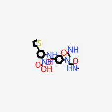 CNC(=O)CN(CC(=O)NC)c1ccc(C(=O)Nc2cc(-c3cccs3)ccc2NC(=O)O)cc1